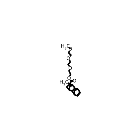 COCCOCCOCCOC(=O)C1(C)CC2CC1C1C3C=CC(C3)C21